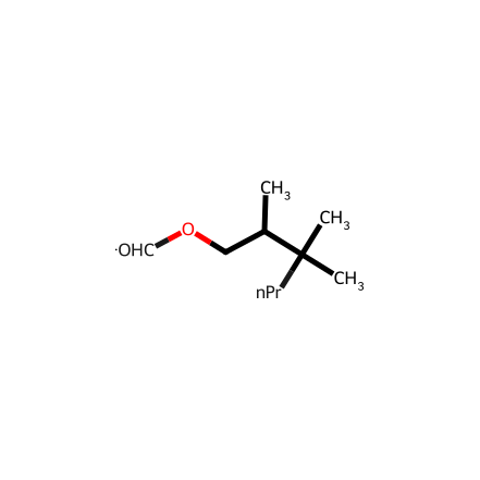 CCCC(C)(C)C(C)CO[C]=O